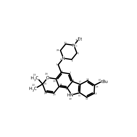 CCN1CCN(Cc2cc3c([nH]c4ccc(C(C)(C)C)cc43)c3c2OC(C)(C)C=C3)CC1